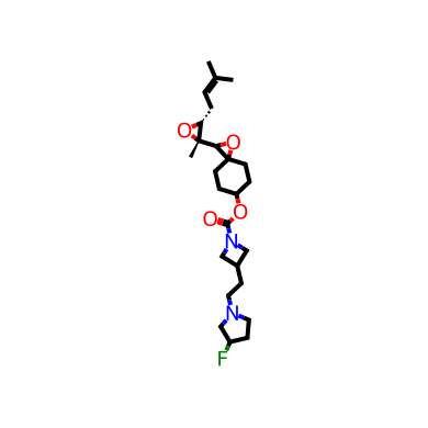 CC(C)=CC[C@H]1O[C@@]1(C)C1OC12CCC(OC(=O)N1CC(CCN3CCC(F)C3)C1)CC2